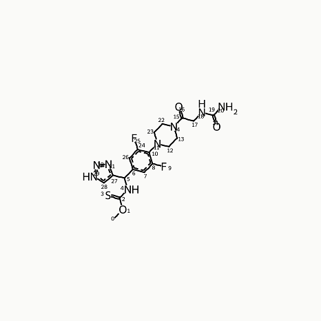 COC(=S)NC(c1cc(F)c(N2CCN(C(=O)CNC(N)=O)CC2)c(F)c1)c1c[nH]nn1